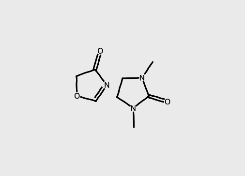 CN1CCN(C)C1=O.O=C1COC=N1